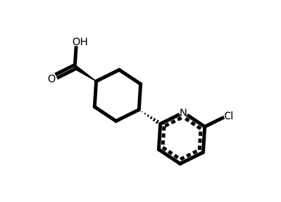 O=C(O)[C@H]1CC[C@H](c2cccc(Cl)n2)CC1